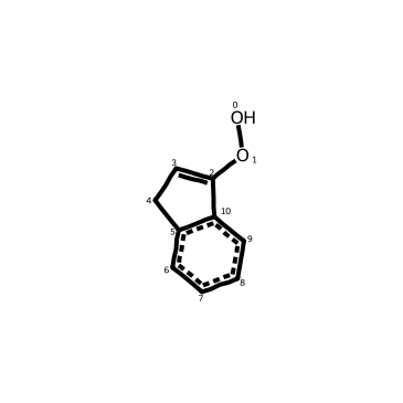 OOC1=CCc2ccccc21